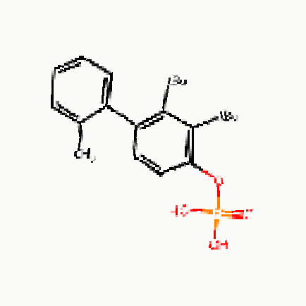 Cc1ccccc1-c1ccc(OP(=O)(O)O)c(C(C)(C)C)c1C(C)(C)C